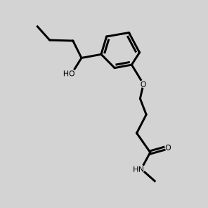 CCCC(O)c1cccc(OCCCC(=O)NC)c1